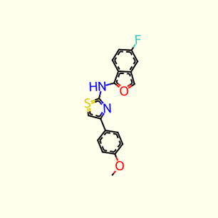 COc1ccc(-c2csc(Nc3occ4cc(F)ccc34)n2)cc1